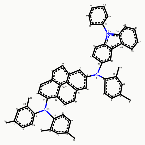 Cc1ccc(N(c2cc3ccc4ccc(N(c5ccc(C)cc5C)c5ccc(C)cc5C)c5ccc(c2)c3c45)c2ccc3c(c2)c2ccccc2n3-c2ccccc2)c(C)c1